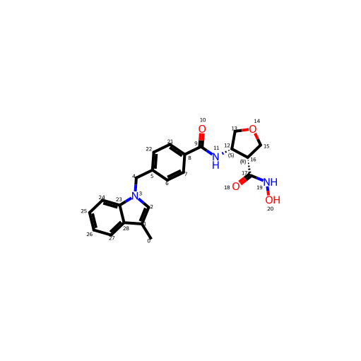 Cc1cn(Cc2ccc(C(=O)N[C@@H]3COC[C@@H]3C(=O)NO)cc2)c2ccccc12